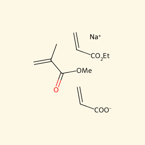 C=C(C)C(=O)OC.C=CC(=O)OCC.C=CC(=O)[O-].[Na+]